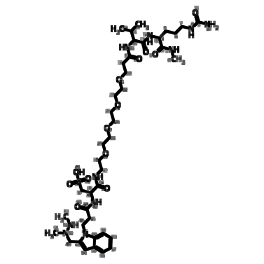 CNC(=O)[C@H](CCCNC(N)=O)NC(=O)C(NC(=O)CCOCCOCCOCCOCCNC(=O)[C@H](CS(=O)(=O)O)NC(=O)CCn1c(CN(C)NC)cc2ccccc21)C(C)C